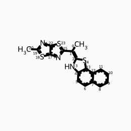 C/C(=C1/Nc2ccc3ccccc3c2S1)c1nc2sc(C)nc2s1